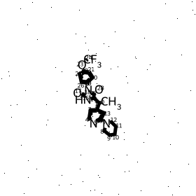 CC(c1ccnc(N2CCCCC2)c1)C1NC(=O)N(c2ccc(OC(F)(F)F)cc2)C1=O